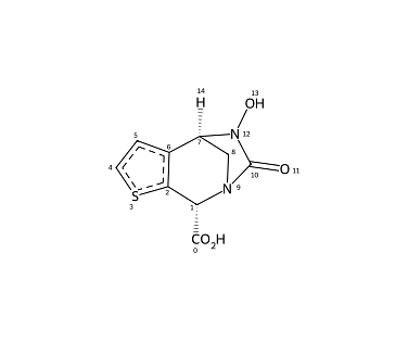 O=C(O)[C@@H]1c2sccc2[C@@H]2CN1C(=O)N2O